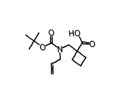 C=CCN(CC1(C(=O)O)CCC1)C(=O)OC(C)(C)C